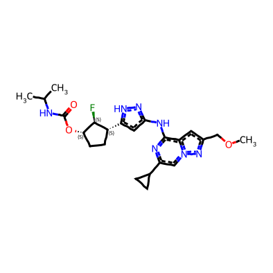 COCc1cc2c(Nc3cc([C@@H]4CC[C@H](OC(=O)NC(C)C)[C@H]4F)[nH]n3)nc(C3CC3)cn2n1